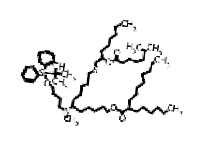 CCCCCCCCC(CCCCCC)C(=O)OCCCCCC(CCCCCSCC(CCCCCC)OC(=O)CCCCC(C)C)N(C)CCCCO[Si](c1ccccc1)(c1ccccc1)C(C)(C)C